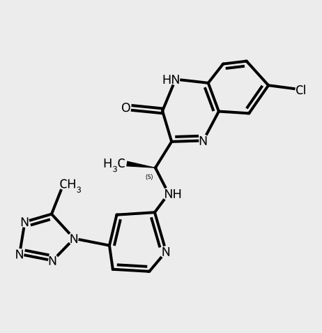 Cc1nnnn1-c1ccnc(N[C@@H](C)c2nc3cc(Cl)ccc3[nH]c2=O)c1